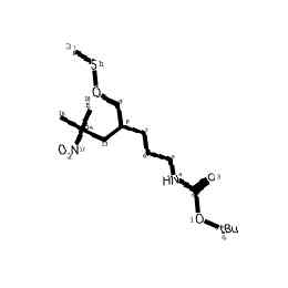 CC(C)(C)OC(=O)NCCCC(COSI)CC(C)(C)[N+](=O)[O-]